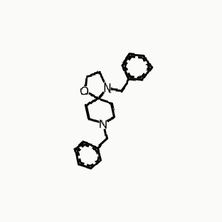 c1ccc(CN2CCC3(CC2)OCCN3Cc2ccccc2)cc1